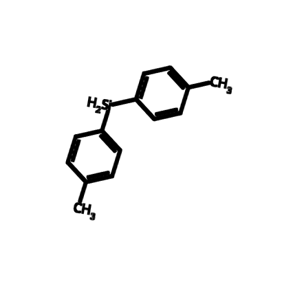 Cc1ccc([SiH2]c2ccc(C)cc2)cc1